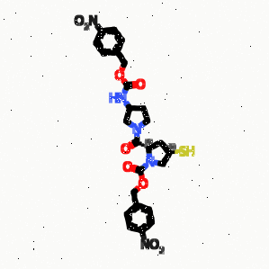 O=C(NC1CCN(C(=O)[C@@H]2C[C@@H](S)CN2C(=O)OCc2ccc([N+](=O)[O-])cc2)C1)OCc1ccc([N+](=O)[O-])cc1